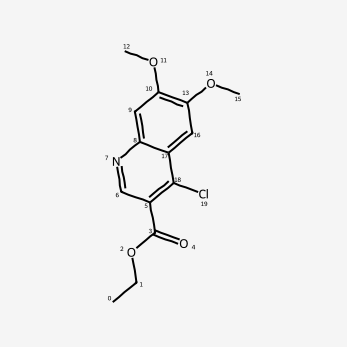 CCOC(=O)c1cnc2cc(OC)c(OC)cc2c1Cl